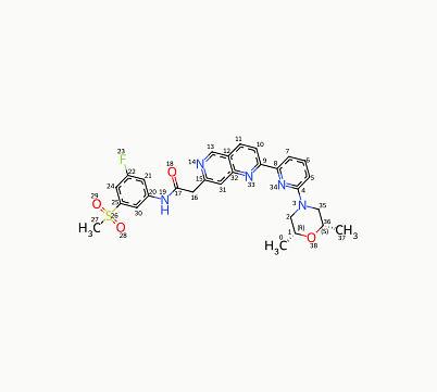 C[C@@H]1CN(c2cccc(-c3ccc4cnc(CC(=O)Nc5cc(F)cc(S(C)(=O)=O)c5)cc4n3)n2)C[C@H](C)O1